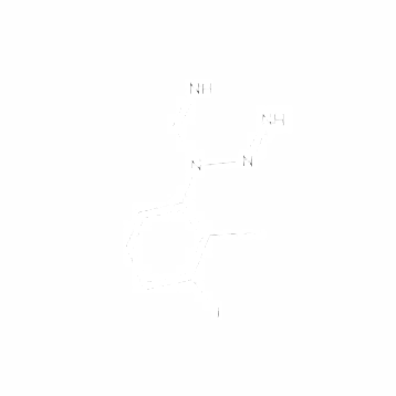 Cc1c(I)cccc1N(C=N)N=N